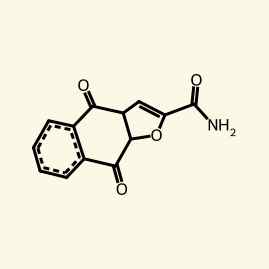 NC(=O)C1=CC2C(=O)c3ccccc3C(=O)C2O1